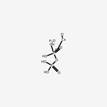 O.O=P(O)(O)OP(=O)(O)O.[Cl][Ca][Cl]